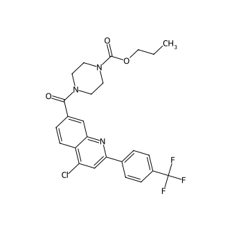 CCCOC(=O)N1CCN(C(=O)c2ccc3c(Cl)cc(-c4ccc(C(F)(F)F)cc4)nc3c2)CC1